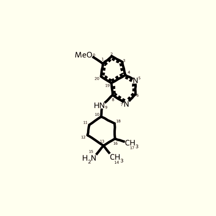 COc1ccc2ncnc(NC3CCC(C)(N)C(C)C3)c2c1